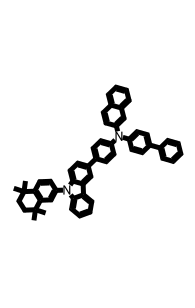 CC1(C)CCC(C)(C)c2cc(-n3c4ccccc4c4cc(-c5ccc(N(c6ccc(-c7ccccc7)cc6)c6ccc7ccccc7c6)cc5)ccc43)ccc21